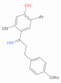 COc1ccc(CCC(=N)c2cc(C(C)C)c(O)cc2N=O)cc1